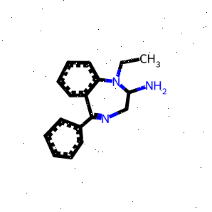 CCN1c2ccccc2C(c2ccccc2)=NCC1N